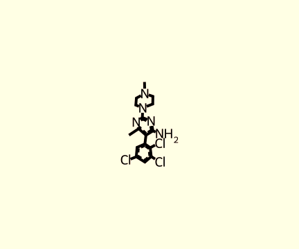 Cc1nc(N2CCN(C)CC2)nc(N)c1-c1cc(Cl)cc(Cl)c1Cl